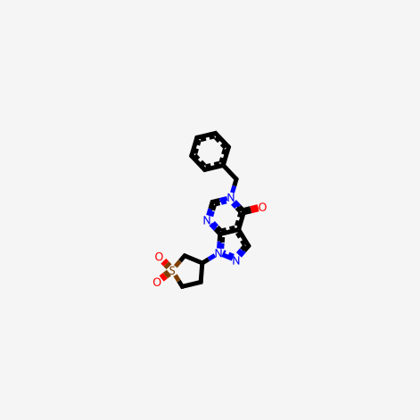 O=c1c2cnn(C3CCS(=O)(=O)C3)c2ncn1Cc1ccccc1